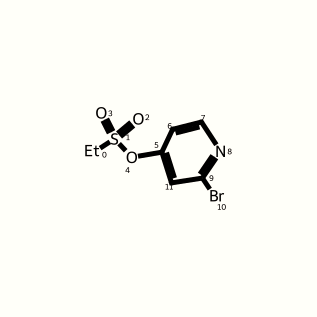 CCS(=O)(=O)Oc1ccnc(Br)c1